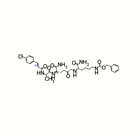 CC(NC(=O)/C=C/c1ccc(Cl)cc1)C(=O)N[C@@H](CCC(=O)CNC(CCCCNC(=O)OCc1ccccc1)C(N)=O)C(N)=O